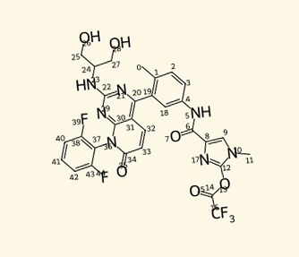 Cc1ccc(NC(=O)c2cn(C)c(OC(=O)C(F)(F)F)n2)cc1-c1nc(NC(CO)CO)nc2c1ccc(=O)n2-c1c(F)cccc1F